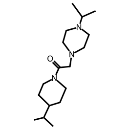 CC(C)C1CCN(C(=O)CN2CCN(C(C)C)CC2)CC1